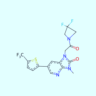 Cn1c(=O)n(CC(=O)N2CC(F)(F)C2)c2cc(-c3ccc(C(F)(F)F)s3)cnc21